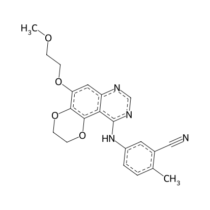 COCCOc1cc2ncnc(Nc3ccc(C)c(C#N)c3)c2c2c1OCCO2